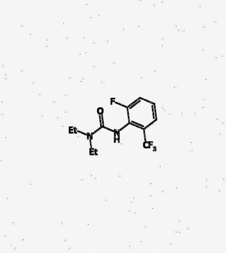 CCN(CC)C(=O)Nc1c(F)cccc1C(F)(F)F